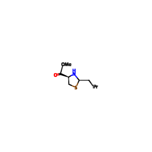 COC(=O)[C@@H]1CSC(CC(C)C)N1